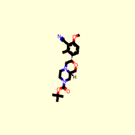 COc1ccc([C@H]2CN3CCN(C(=O)OC(C)(C)C)C[C@H]3CO2)c(C)c1C#N